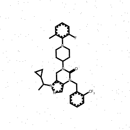 Cc1cccc(F)c1N1CCC(N2Cc3c(cnn3C(C)C3CC3)N(Cc3ccccc3C(F)(F)F)C2=O)CC1